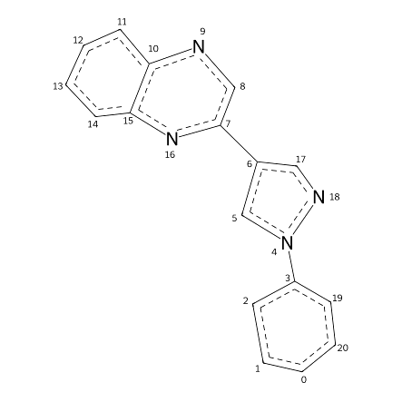 c1ccc(-n2cc(-c3cnc4ccccc4n3)cn2)cc1